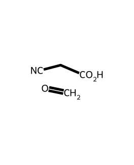 C=O.N#CCC(=O)O